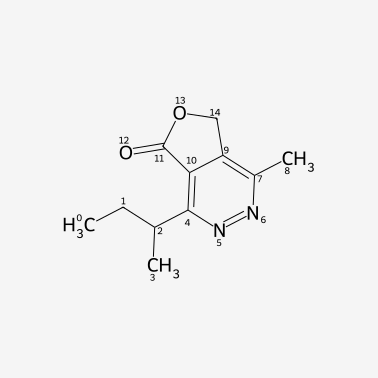 CCC(C)c1nnc(C)c2c1C(=O)OC2